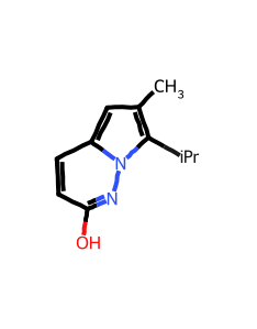 Cc1cc2ccc(O)nn2c1C(C)C